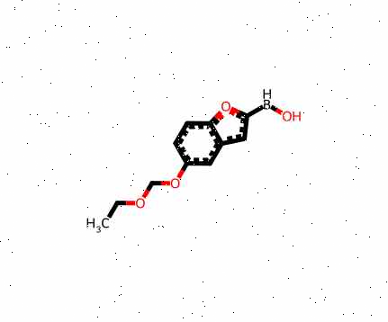 CCOCOc1ccc2oc(BO)cc2c1